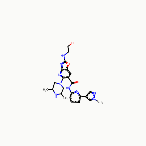 CC1CN(c2nc3nc(NCCO)oc3cc2C(=O)Nc2cccc(-c3cnn(C)c3)n2)CC(C)N1